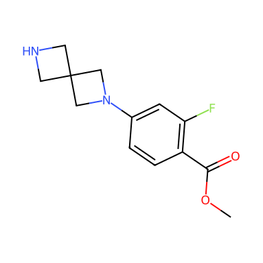 COC(=O)c1ccc(N2CC3(CNC3)C2)cc1F